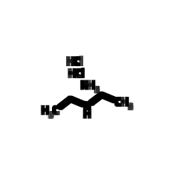 CCNCC.Cl.Cl.N